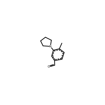 Cc1ccc(C=O)cc1N1CCCC1